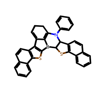 C1=C2C3=C(CC1)N(c1ccccc1)C1c4ccc5ccccc5c4SC1B3c1sc3c(ccc4ccccc43)c12